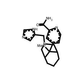 COC1(c2ccnc(C(N)=O)c2)C2CCCC1CN(Cc1cnc[nH]1)C2